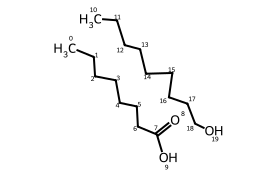 CCCCCCCC(=O)O.CCCCCCCCCO